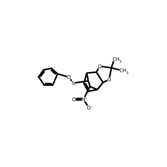 CC1(C)OC2C3C=CC(C2O1)C([N+](=O)[O-])C3SOc1ccccc1